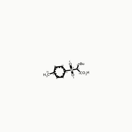 CCCCC(C(=O)O)S(=O)(=O)c1ccc(C)cc1